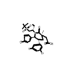 CC[C@@H](CS(=O)(=O)C(C)(C)C)N1C(=O)[C@@](C)(CC(=O)O)C[C@H](c2cc(F)cc(Cl)c2)[C@H]1c1ccc(Cl)cc1